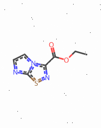 CCOC(=O)c1nsc2nccn12